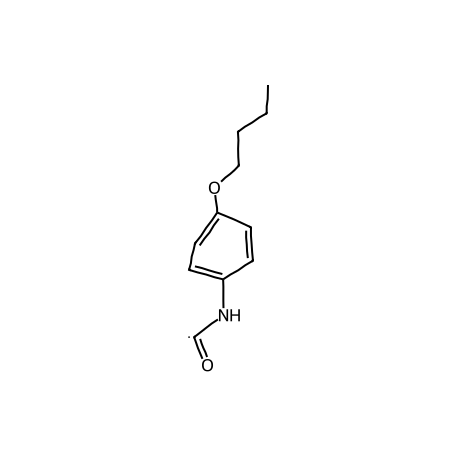 CCCCOc1ccc(N[C]=O)cc1